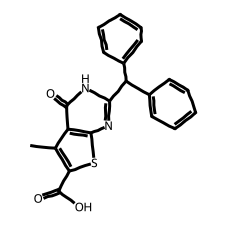 Cc1c(C(=O)O)sc2nc(C(c3ccccc3)c3ccccc3)[nH]c(=O)c12